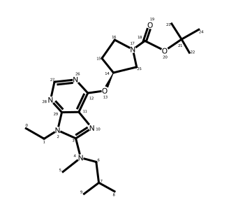 CCn1c(N(C)CC(C)C)nc2c(O[C@H]3CCN(C(=O)OC(C)(C)C)C3)ncnc21